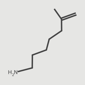 C=C(C)CCCCCN